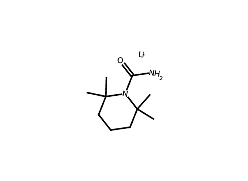 CC1(C)CCCC(C)(C)N1C(N)=O.[Li]